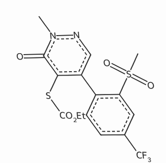 CCOC(=O)Sc1c(-c2ccc(C(F)(F)F)cc2S(C)(=O)=O)cnn(C)c1=O